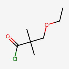 CCOCC(C)(C)C(=O)Cl